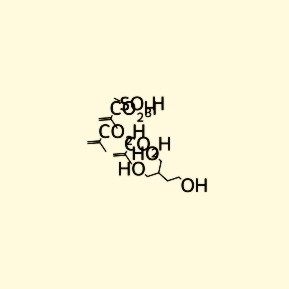 C=C(C)C(=O)O.C=C(C)C(=O)O.C=C(C)C(=O)O.CS(=O)(=O)O.OCCC(CO)CO